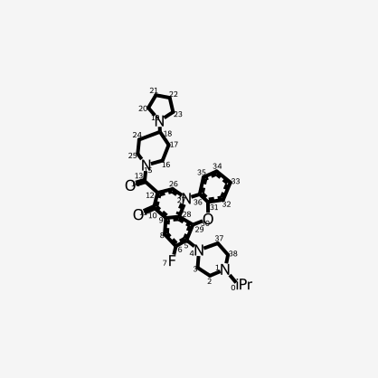 CC(C)N1CCN(c2c(F)cc3c(=O)c(C(=O)N4CCC(N5CCCC5)CC4)cn4c3c2Oc2ccccc2-4)CC1